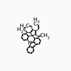 C=CC1=C(C=C)C2(C(C=C)=C1/C=C\C)c1ccccc1-n1c3ccccc3c3cccc2c31